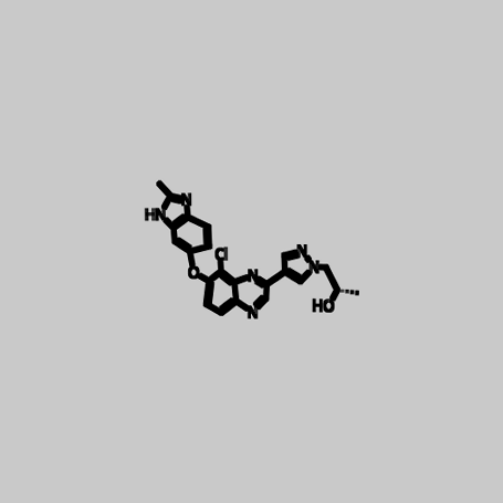 Cc1nc2ccc(Oc3ccc4ncc(-c5cnn(C[C@H](C)O)c5)nc4c3Cl)cc2[nH]1